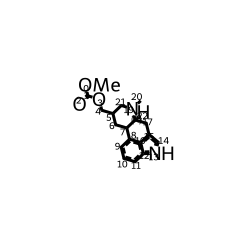 COC(=O)OCC1CC2c3cccc4[nH]cc(c34)C[C@H]2N(C)C1